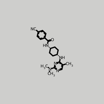 Cc1cnc(N(C)C)nc1N[C@H]1CC[C@@H](NC(=O)c2ccc(C#N)cc2)CC1